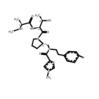 CN[C@@H](C)C(=O)N[C@H](C(=O)N1CCC[C@H]1CN(CCc1ccc(F)cc1)C(=O)c1cn(C)cn1)[C@@H](C)O